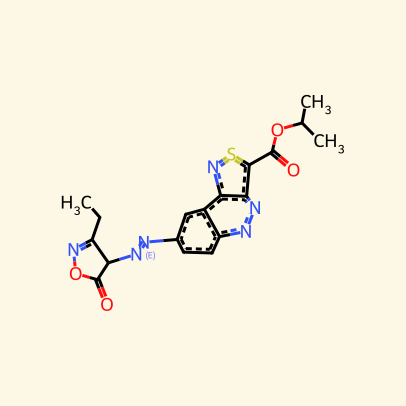 CCC1=NOC(=O)C1/N=N/c1ccc2nnc3c(C(=O)OC(C)C)snc3c2c1